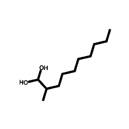 CCCCCCCCC(C)C(O)O